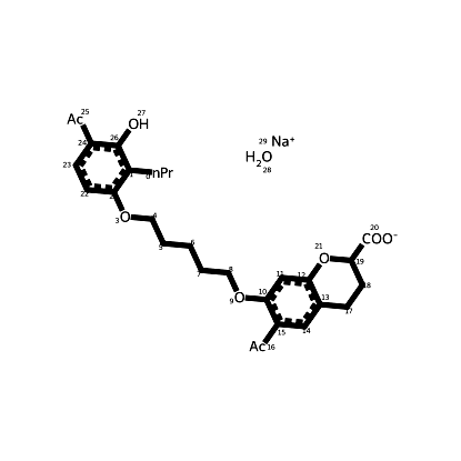 CCCc1c(OCCCCCOc2cc3c(cc2C(C)=O)CCC(C(=O)[O-])O3)ccc(C(C)=O)c1O.O.[Na+]